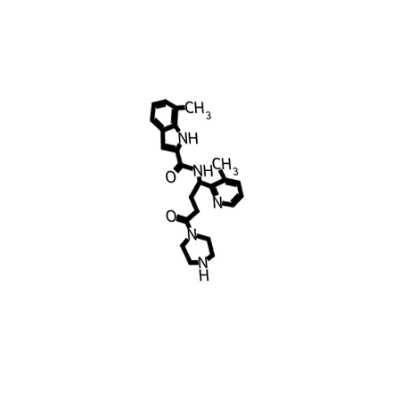 Cc1cccnc1C(CCC(=O)N1CCNCC1)NC(=O)c1cc2cccc(C)c2[nH]1